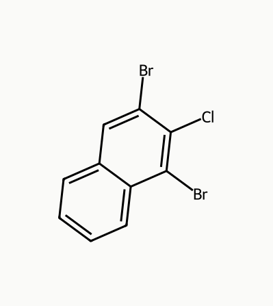 Clc1c(Br)cc2ccccc2c1Br